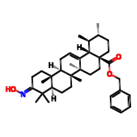 C[C@H]1[C@H](C)CC[C@]2(C(=O)OCc3ccccc3)CC[C@]3(C)C(=CC[C@@H]4[C@@]5(C)CC/C(=N\O)C(C)(C)[C@@H]5CC[C@]43C)[C@H]12